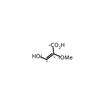 COC(=CO)C(=O)O